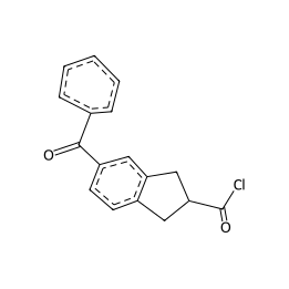 O=C(c1ccccc1)c1ccc2c(c1)CC(C(=O)Cl)C2